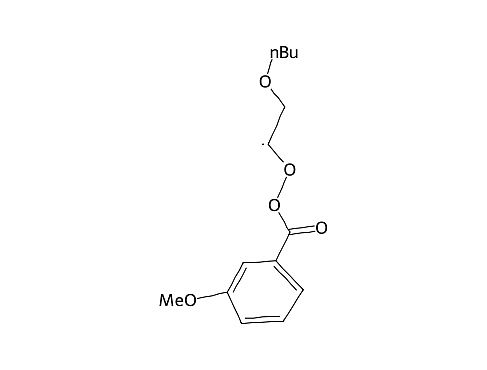 CCCCOC[CH]OOC(=O)c1cccc(OC)c1